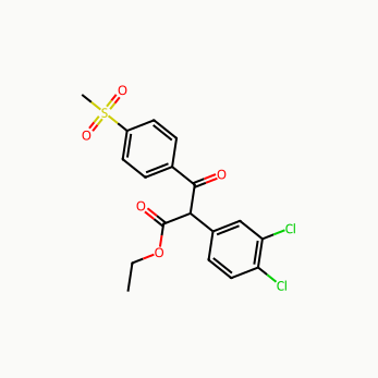 CCOC(=O)C(C(=O)c1ccc(S(C)(=O)=O)cc1)c1ccc(Cl)c(Cl)c1